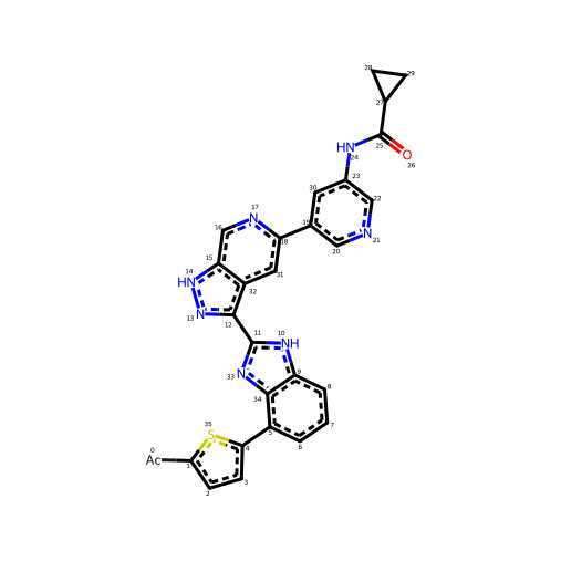 CC(=O)c1ccc(-c2cccc3[nH]c(-c4n[nH]c5cnc(-c6cncc(NC(=O)C7CC7)c6)cc45)nc23)s1